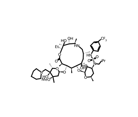 CC[C@H]1OC(=O)[C@H](C)[C@@H](O[C@H]2C[C@@](C)(OC)[C@](O)(CN3CCCCC3)[C@H](C)O2)[C@H](C)[C@@H](O[C@@H]2O[C@H](C)C[C@H](N(CC(C)C)S(=O)(=O)Nc3ccc(C(F)(F)F)cc3)[C@H]2O)[C@](C)(O)C[C@@H](C)CN[C@H](C)[C@@H](O)[C@]1(C)O